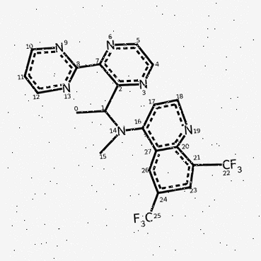 CC(c1nccnc1-c1ncccn1)N(C)c1ccnc2c(C(F)(F)F)cc(C(F)(F)F)cc12